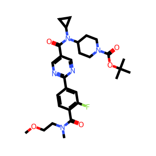 COCCN(C)C(=O)c1ccc(-c2ncc(C(=O)N(C3CC3)C3CCN(C(=O)OC(C)(C)C)CC3)cn2)cc1F